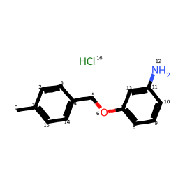 Cc1ccc(COc2cccc(N)c2)cc1.Cl